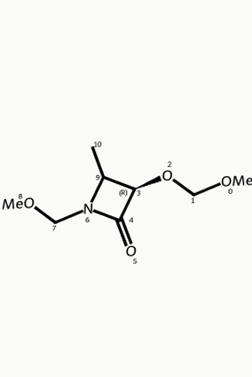 COCO[C@H]1C(=O)N(COC)C1C